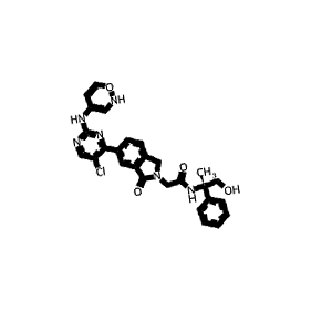 C[C@@](CO)(NC(=O)CN1Cc2ccc(-c3nc(NC4=CNOC=C4)ncc3Cl)cc2C1=O)c1ccccc1